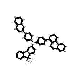 CC1(C)c2ccccc2-c2cc(N(c3ccc(-c4ccc5ccccc5c4)cc3)c3ccc(-c4cccc5c4ccc4ccccc45)cc3)ccc21